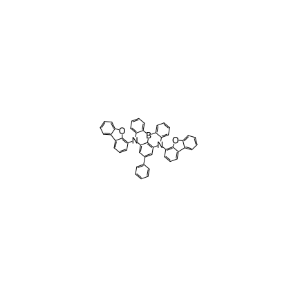 c1ccc(-c2cc3c4c(c2)N(c2cccc5c2oc2ccccc25)c2ccccc2B4c2ccccc2N3c2cccc3c2oc2ccccc23)cc1